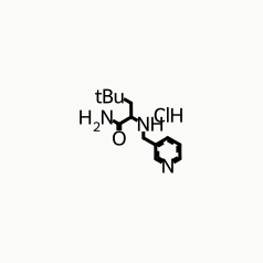 CC(C)(C)CC(NCc1cccnc1)C(N)=O.Cl